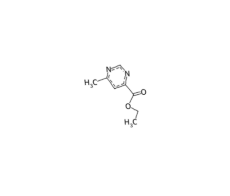 CCOC(=O)c1cc(C)ncn1